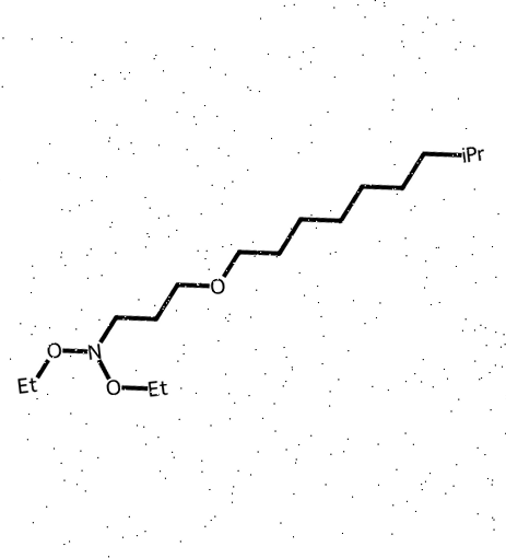 CCON(CCCOCCCCCCCC(C)C)OCC